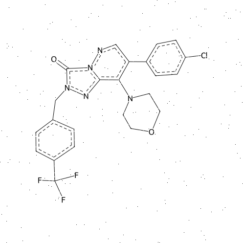 O=c1n(Cc2ccc(C(F)(F)F)cc2)nc2c(N3CCOCC3)c(-c3ccc(Cl)cc3)cnn12